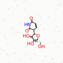 O=C1C=CC(C2O[C@H](CO)[C@@H](O)[C@H]2O)C(=O)N1